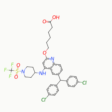 O=C(O)CCCCCOc1cc(NC2CCN(S(=O)(=O)C(F)(F)F)CC2)c2cc(C(c3ccc(Cl)cc3)c3ccc(Cl)cc3)ccc2n1